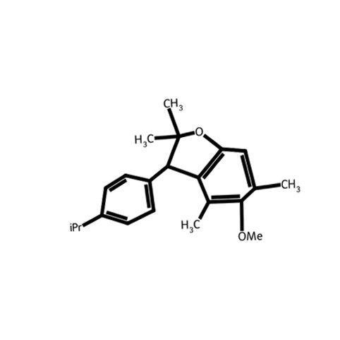 COc1c(C)cc2c(c1C)C(c1ccc(C(C)C)cc1)C(C)(C)O2